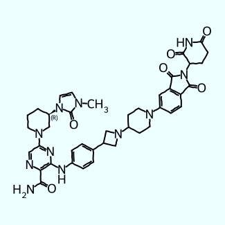 Cn1ccn([C@@H]2CCCN(c3cnc(C(N)=O)c(Nc4ccc(C5CN(C6CCN(c7ccc8c(c7)C(=O)N(C7CCC(=O)NC7=O)C8=O)CC6)C5)cc4)n3)C2)c1=O